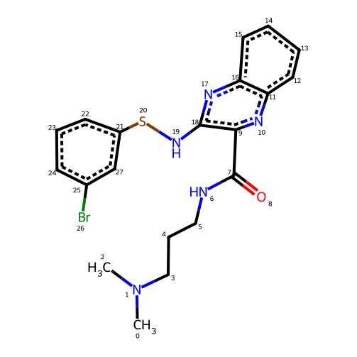 CN(C)CCCNC(=O)c1nc2ccccc2nc1NSc1cccc(Br)c1